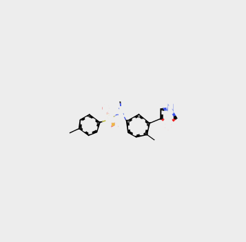 Cc1ccc(S(=O)(=O)N(C)c2ccc(C)c(-c3cnco3)c2)cc1